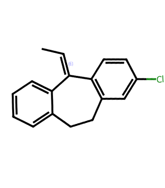 C/C=C1\c2ccccc2CCc2cc(Cl)ccc21